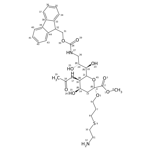 COC(=O)[C@@]1(OCCCSCCN)C[C@@H](O)[C@@H](NC(C)=O)C([C@H](O)[C@H](O)CNC(=O)OCC2c3ccccc3-c3ccccc32)O1